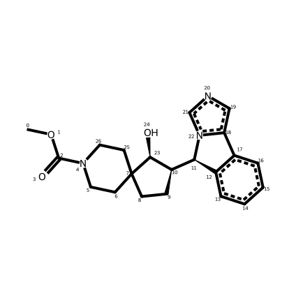 COC(=O)N1CCC2(CC[C@H]([C@@H]3c4ccccc4-c4cncn43)[C@@H]2O)CC1